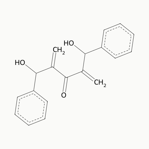 C=C(C(=O)C(=C)C(O)c1ccccc1)C(O)c1ccccc1